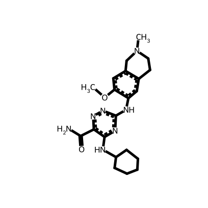 COc1cc2c(cc1Nc1nnc(C(N)=O)c(NC3CCCCC3)n1)CCN(C)C2